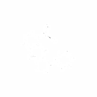 COc1cccc([C@H](C)O)c1[Se]C1CCOC1c1ccccc1